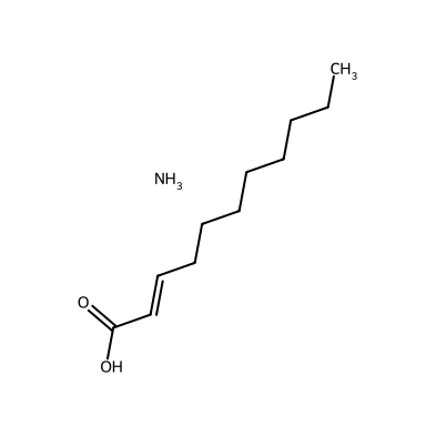 CCCCCCCCC=CC(=O)O.N